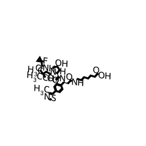 Cc1ncsc1-c1ccc([C@H](CC(=O)NCCCCCCC(=O)O)NC(=O)[C@@H]2C[C@@H](O)CN2C(=O)[C@@H](NC(=O)C2(F)CC2)C(C)(C)C)cc1